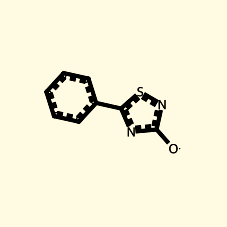 [O]c1nsc(-c2ccccc2)n1